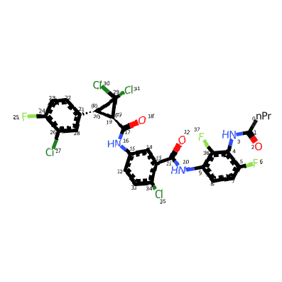 CCCC(=O)Nc1c(F)ccc(NC(=O)c2cc(NC(=O)[C@H]3[C@H](c4ccc(F)c(Cl)c4)C3(Cl)Cl)ccc2Cl)c1F